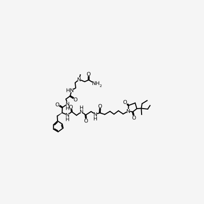 CCC(C)(CC)C1CC(=O)N(CCCCCC(=O)NCC(=O)NCC(=O)N[C@@H](Cc2ccccc2)C(=O)NCC(=O)NCCN(C)CC(N)=O)C1=O